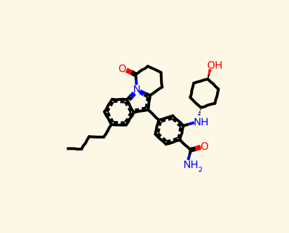 CCCCc1ccc2c(c1)c(-c1ccc(C(N)=O)c(N[C@H]3CC[C@H](O)CC3)c1)c1n2C(=O)CCC1